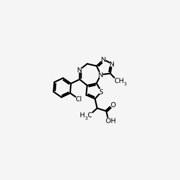 Cc1nnc2n1-c1sc(C(C)C(=O)O)cc1C(c1ccccc1Cl)=NC2